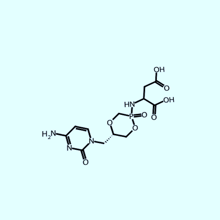 Nc1ccn(C[C@H]2COP(=O)(NC(CC(=O)O)C(=O)O)CO2)c(=O)n1